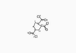 O=C(Cl)C1CCC(C(=O)Cl)C(C(=O)Cl)C1